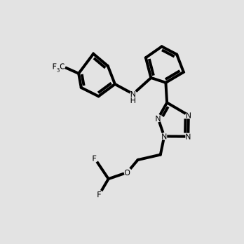 FC(F)OCCn1nnc(-c2ccccc2Nc2ccc(C(F)(F)F)cc2)n1